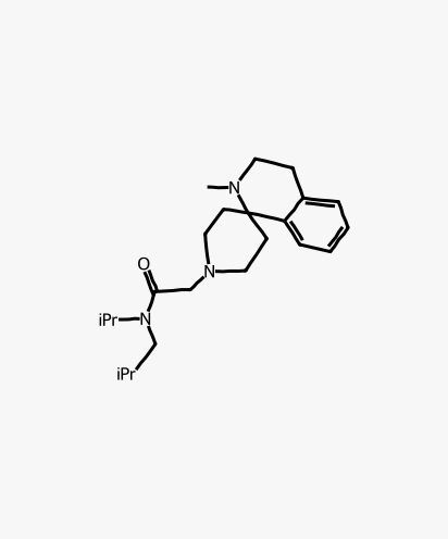 CC(C)CN(C(=O)CN1CCC2(CC1)c1ccccc1CCN2C)C(C)C